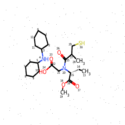 C1CCC(NC2CCCCC2)CC1.CC[C@H](C(=O)OC)N(CC(=O)O)C(=O)C(C)CS